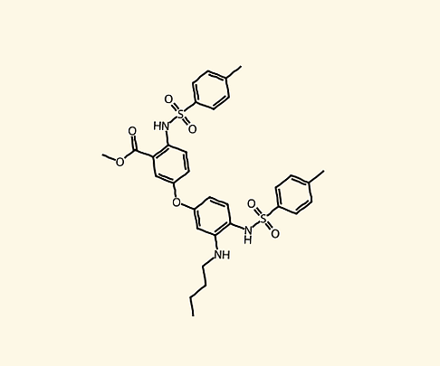 CCCCNc1cc(Oc2ccc(NS(=O)(=O)c3ccc(C)cc3)c(C(=O)OC)c2)ccc1NS(=O)(=O)c1ccc(C)cc1